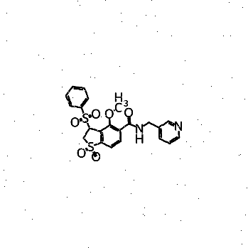 COc1c(C(=O)NCc2cccnc2)ccc2c1C(S(=O)(=O)c1ccccc1)CS2(=O)=O